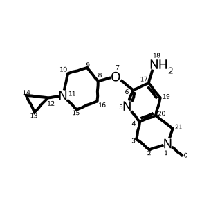 CN1CCc2nc(OC3CCN(C4CC4)CC3)c(N)cc2C1